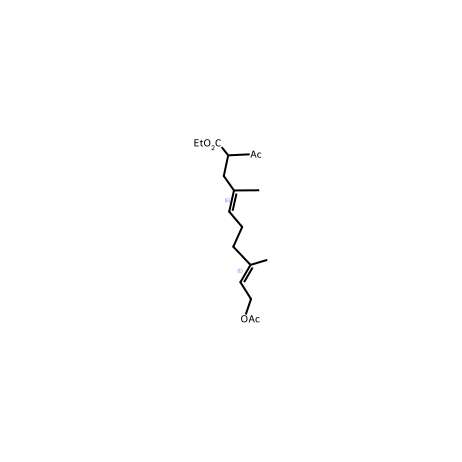 CCOC(=O)C(C/C(C)=C/CC/C(C)=C/COC(C)=O)C(C)=O